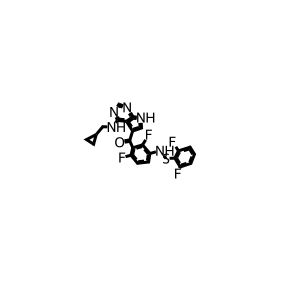 O=C(c1c(F)ccc(NSc2c(F)cccc2F)c1F)c1c[nH]c2ncnc(NCC3CC3)c12